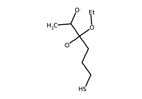 CCOC([O])(CCCS)C(C)[O]